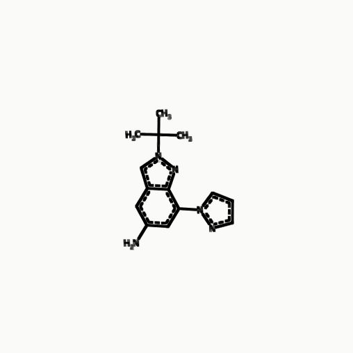 CC(C)(C)n1cc2cc(N)cc(-n3cccn3)c2n1